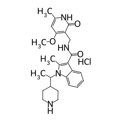 COc1cc(C)[nH]c(=O)c1CNC(=O)c1c(C)n(C(C)C2CCNCC2)c2ccccc12.Cl